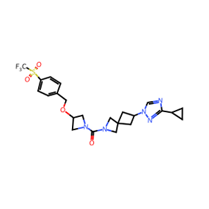 O=C(N1CC(OCc2ccc(S(=O)(=O)C(F)(F)F)cc2)C1)N1CC2(CC(n3cnc(C4CC4)n3)C2)C1